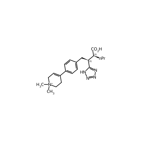 CCC[C@H](C(=O)O)[C@H](Cc1ccc(C2=CC[N+](C)(C)CC2)cc1)c1nnn[nH]1